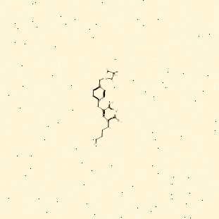 CCCCCc1cc(Cc2ccc(CN3CC(O)C3)cc2)c(C)nc1N